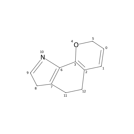 C1=CC2=C(OC1)C1=C(CC=N1)CC2